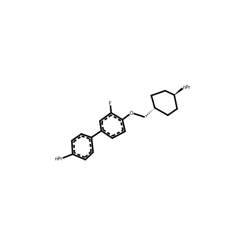 CCCc1ccc(-c2ccc(OC[C@H]3CC[C@H](CCC)CC3)c(F)c2)cc1